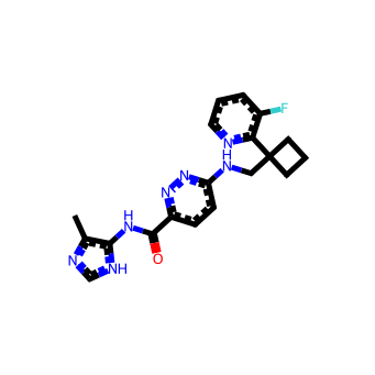 Cc1nc[nH]c1NC(=O)c1ccc(NCC2(c3ncccc3F)CCC2)nn1